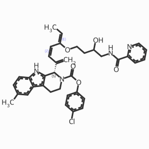 C=C(/C=C\C(=C/C)OCCC(O)CNC(=O)c1ccccn1)[C@H]1c2[nH]c3ccc(C)cc3c2CCN1C(=O)Oc1ccc(Cl)cc1